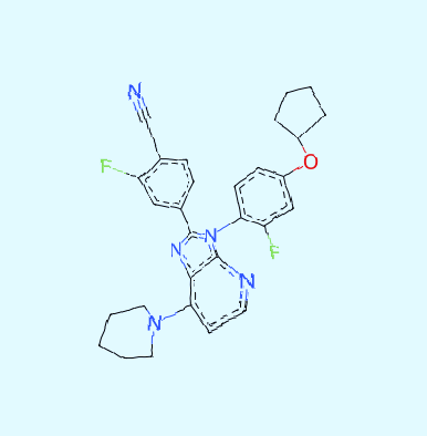 N#Cc1ccc(-c2nc3c(N4CCCCC4)ccnc3n2-c2ccc(OC3CCCC3)cc2F)cc1F